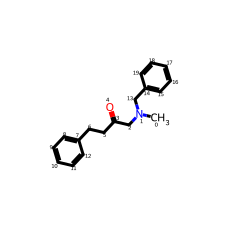 CN(CC(=O)CCc1ccccc1)Cc1ccccc1